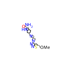 COCCc1cc2c(N3CCC4(CCN(Cc5ccc6cc(C(N)=O)[nH]c6c5)C4)C3)ncnc2s1